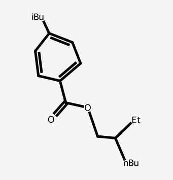 CCCCC(CC)COC(=O)c1ccc(C(C)CC)cc1